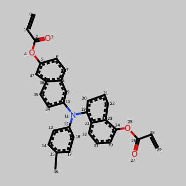 C=CC(=O)Oc1ccc2cc(N(c3ccc(C)cc3)c3cccc4c(OC(=O)C=C)cccc34)ccc2c1